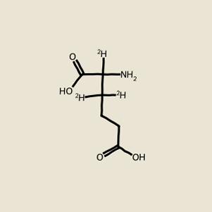 [2H]C([2H])(CCC(=O)O)C([2H])(N)C(=O)O